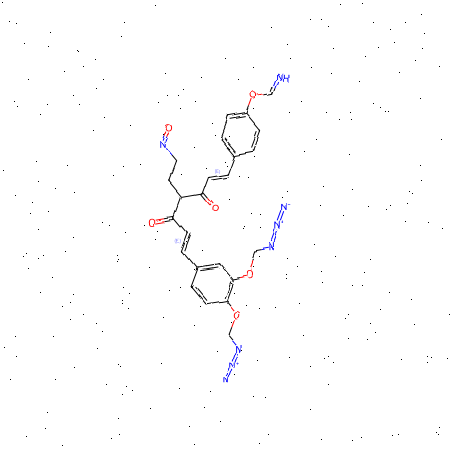 [N-]=[N+]=NCOc1ccc(/C=C/C(=O)C(CCN=O)C(=O)/C=C/c2ccc(OC=N)cc2)cc1OCN=[N+]=[N-]